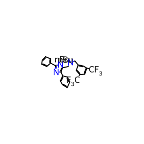 CCCCN(Cc1cc(C(F)(F)F)cc(C(F)(F)F)c1)Cc1c(-c2ccccc2)nc(-c2ccccc2)n1CCCC